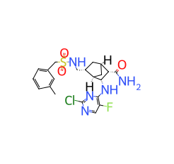 Cc1cccc(CS(=O)(=O)NC[C@@H]2C[C@@H]3C[C@H]2[C@@H](Nc2nc(Cl)ncc2F)[C@H]3C(N)=O)c1